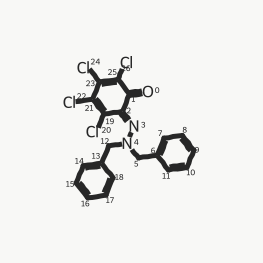 O=C1C(=NN(Cc2ccccc2)Cc2ccccc2)C(Cl)=C(Cl)C(Cl)=C1Cl